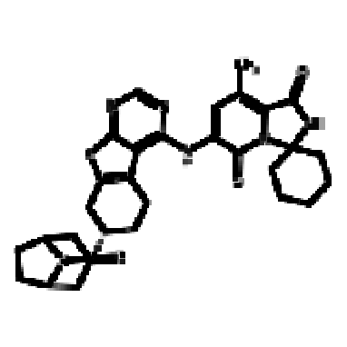 Cc1cc(Nc2ncnc3sc4c(c23)CC[C@H](CN2C3CCC2CC(=O)C3)C4)c(=O)n2c1C(=O)NC21CCCCC1